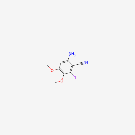 COc1cc(N)c(C#N)c(I)c1OC